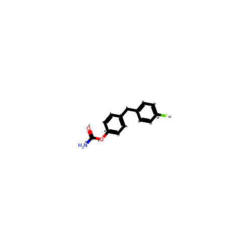 NC(=O)Oc1ccc(Cc2ccc(F)cc2)cc1